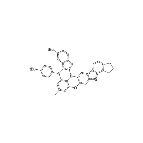 Cc1cc2c3c(c1)N(c1ccc(C(C)(C)C)cc1)c1c(sc4ccc(C(C)(C)C)cc14)B3c1cc3c(cc1O2)sc1c2c(ccc13)CCC2